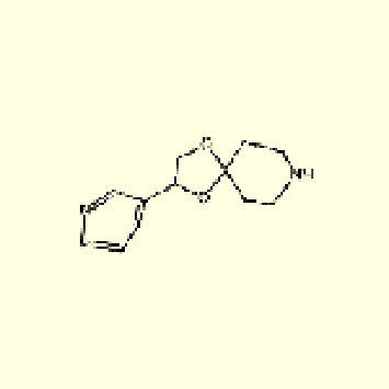 c1cncc(C2COC3(CCNCC3)O2)c1